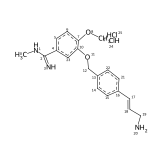 CNC(=N)c1ccc(OC)c(OCc2ccc(C=CCN)cc2)c1.Cl.Cl